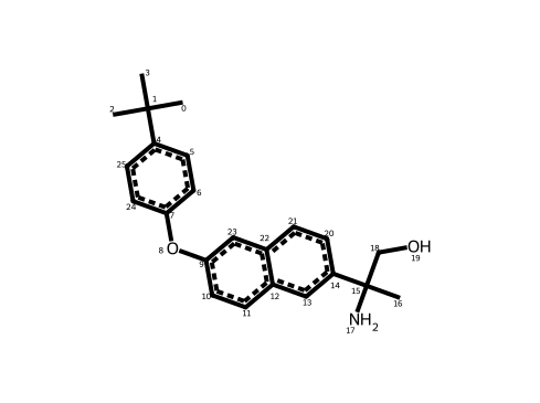 CC(C)(C)c1ccc(Oc2ccc3cc(C(C)(N)CO)ccc3c2)cc1